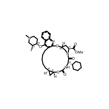 COC(=O)[C@@H]1C[C@@H]2CN1C(=O)[C@H](C1CCCCC1)NC(=O)O[C@@H]1C[C@H]1CCCCCc1c(nc3ccccc3c1O[C@@H]1CCN(C)C[C@@H]1F)O2